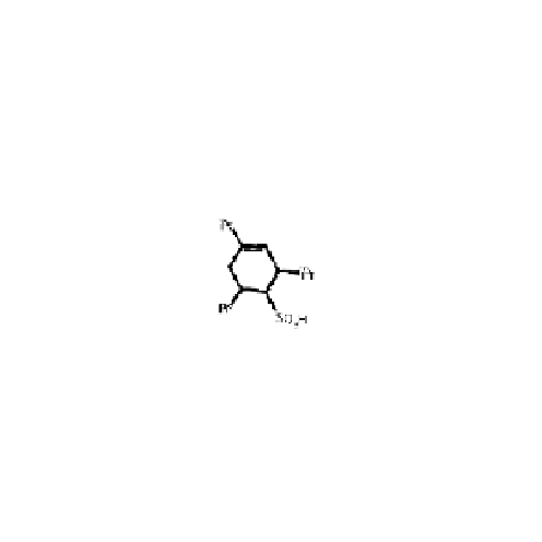 CC(C)C1=C[C@@H](C(C)C)C(S(=O)(=O)O)C(C(C)C)C1